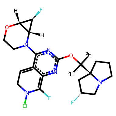 [2H]C([2H])(Oc1nc(N2CCO[C@@H]3[C@@H](F)[C@@H]32)c2c(n1)=C(F)N(Cl)CC=2)[C@@]12CCCN1C[C@H](F)C2